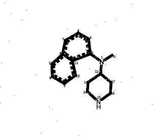 CN(c1cccc2ccccc12)C1CCNCC1